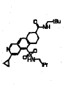 CC(C)CNS(=O)(=O)c1c2c(cc3cnc(C4CC4)cc13)CC(C(=O)NCC(C)(C)C)CC2